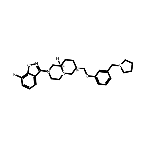 Fc1cccc2c(N3CCN4C[C@H](COc5cccc(CN6CCCC6)c5)CC[C@H]4C3)noc12